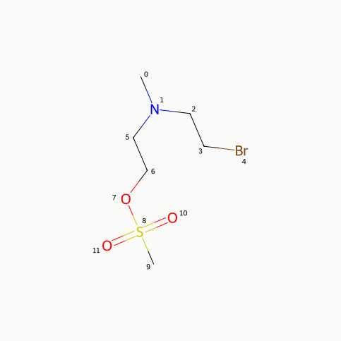 CN(CCBr)CCOS(C)(=O)=O